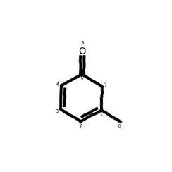 CC1=CC=[C]C(=O)C1